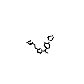 O=C(c1ccc(N2CCOCC2)nc1)n1ccc(CCc2ccco2)n1